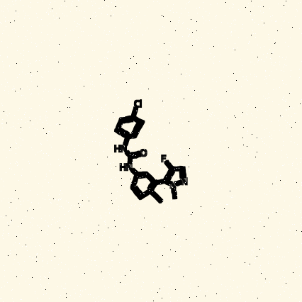 Cc1ccc(NC(=O)Nc2ccc(Cl)cc2)cc1-c1c(F)cnn1C